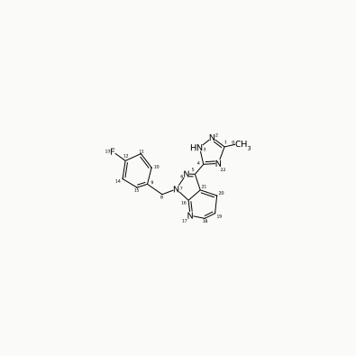 Cc1n[nH]c(-c2nn(Cc3ccc(F)cc3)c3ncccc23)n1